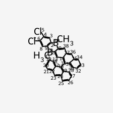 CB1c2cc(Cl)c(Cl)cc2B(C)c2cc3c(-c4c5ccccc5cc5ccccc45)c4ccccc4cc3cc21